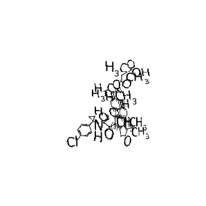 CC(C)C1=C2C(CC1=O)[C@@H](C(=O)C(=O)NC1(c3ccc(Cl)cc3)CC1)C[C@]1(C)[C@@H]2CC[C@@H]2[C@@]3(C)CC[C@H](OC(=O)CC(C)(C)C(=O)O)C(C)(C)[C@@H]3CC[C@]21C